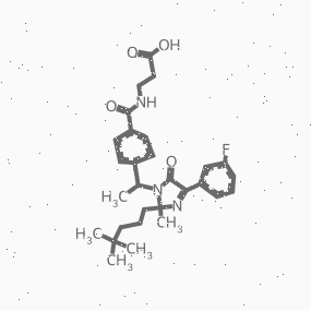 CC(c1ccc(C(=O)NCCC(=O)O)cc1)N1C(=O)C(c2cccc(F)c2)=NC1(C)CCCC(C)(C)C